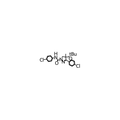 CC(C)(C)C(=O)C1(C)CN(C(=O)Nc2ccc(Cl)cc2)N=C1c1ccc(Cl)cc1